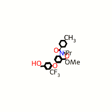 COC(=O)c1cc(Oc2ccc(CO)cc2C(F)(F)F)ccc1N(C(=O)[C@H]1CC[C@H](C)CC1)C(C)C